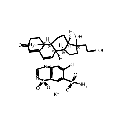 C[C@]12CCC(=O)C=C1C=C[C@@H]1[C@@H]2CC[C@@]2(C)[C@H]1CC[C@@]2(O)CCC(=O)[O-].NS(=O)(=O)c1cc2c(cc1Cl)NC=NS2(=O)=O.[K+]